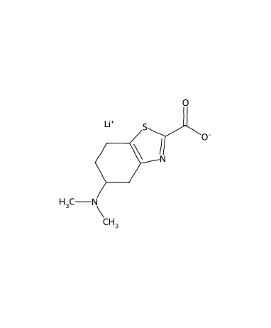 CN(C)C1CCc2sc(C(=O)[O-])nc2C1.[Li+]